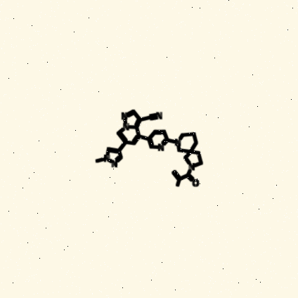 C=C(C)C(=O)N1CCC2(CCCN(c3ccc(-c4cc(-c5cnn(C)c5)cn5ncc(C#N)c45)cn3)C2)C1